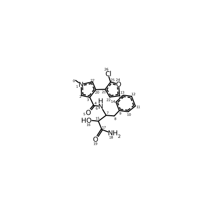 Cn1cc(C(=O)NC(Cc2ccccc2)C(O)C(N)=O)c(-c2ccoc2Cl)c1